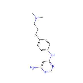 CN(C)CCCc1ccc(Nc2cc(N)ncn2)cc1